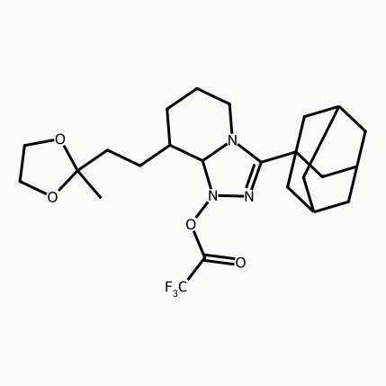 CC1(CCC2CCCN3C(C45CC6CC(CC(C6)C4)C5)=NN(OC(=O)C(F)(F)F)C23)OCCO1